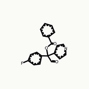 O=CC(OC(=O)c1ccccc1)(c1ccncc1)c1ccc(F)cc1